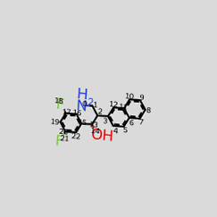 NCC(c1ccc2ccccc2c1)C(O)c1cc(F)cc(F)c1